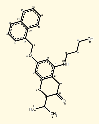 CC(C)C1Oc2cc(OCc3cccc4ccccc34)cc(NCCCO)c2CC1=O